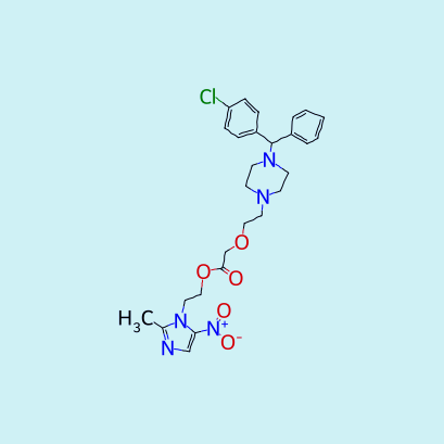 Cc1ncc([N+](=O)[O-])n1CCOC(=O)COCCN1CCN(C(c2ccccc2)c2ccc(Cl)cc2)CC1